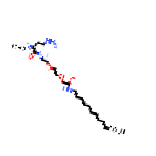 NCC[C@H](NC=O)C(=O)NCCOCCOCC(=O)NCCCCCCCCCCC(=O)O